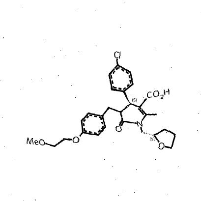 COCCOc1ccc(CC2C(=O)N(C[C@@H]3CCCO3)C(C)=C(C(=O)O)[C@@H]2c2ccc(Cl)cc2)cc1